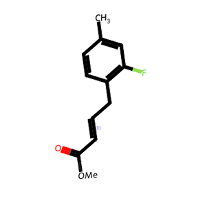 COC(=O)/C=C/Cc1ccc(C)cc1F